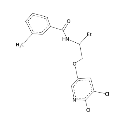 [CH2]CC(COc1cnc(Cl)c(Cl)c1)NC(=O)c1cccc(C)c1